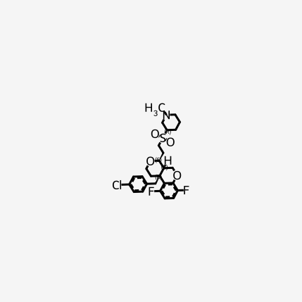 CN1CCC[C@@H](S(=O)(=O)CC[C@@H]2OCC[C@@]3(Cc4ccc(Cl)cc4)c4c(F)ccc(F)c4OC[C@@H]23)C1